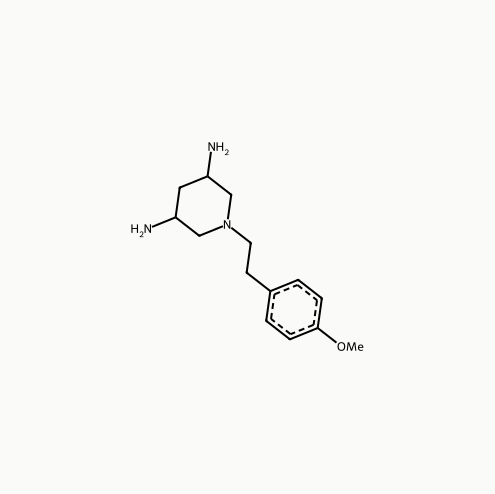 COc1ccc(CCN2CC(N)CC(N)C2)cc1